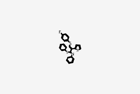 Fc1ccc(SC=C(C(=Nc2ccccc2)Sc2ccccc2)c2cccs2)cc1